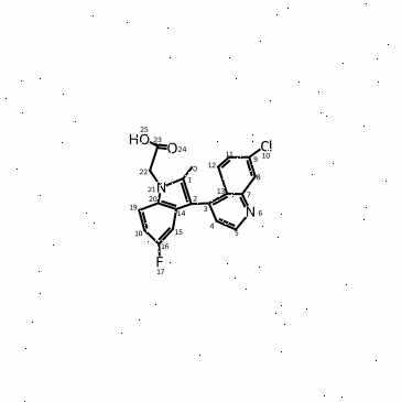 Cc1c(-c2ccnc3cc(Cl)ccc23)c2cc(F)ccc2n1CC(=O)O